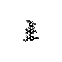 CSc1nc(Oc2cc(C#N)ccc2C(N)=O)c([N+](=O)[O-])c(OC(CC(N)=O)C(=O)O)n1